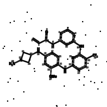 C=CC(=O)Nc1cccc(Nc2nc(Nc3ccc(NC4CN(N)C4)cc3OC)ncc2C(F)(F)F)c1